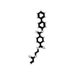 C=CC(=O)OCCOC(=O)C1CCC(C(=O)Oc2ccc(-c3ccccc3)cc2)CC1